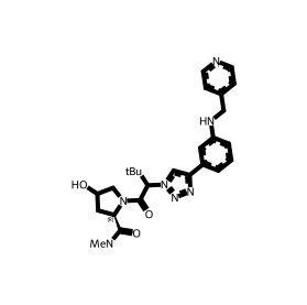 CNC(=O)[C@H]1CC(O)CN1C(=O)C(n1cc(-c2cccc(NCc3ccncc3)c2)nn1)C(C)(C)C